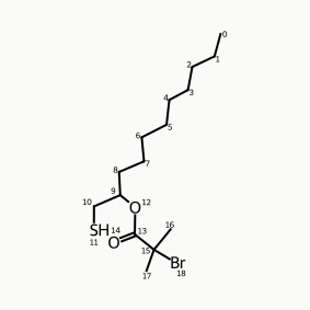 CCCCCCCCCC(CS)OC(=O)C(C)(C)Br